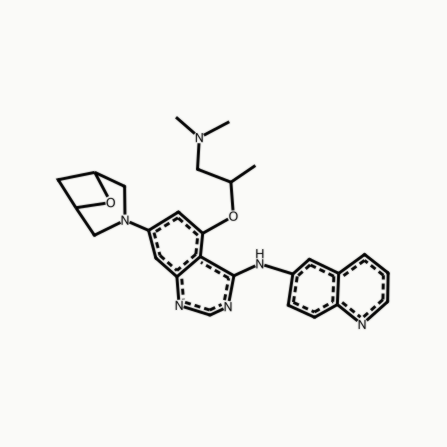 CC(CN(C)C)Oc1cc(N2CC3CC(C2)O3)cc2ncnc(Nc3ccc4ncccc4c3)c12